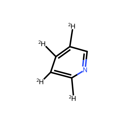 [2H]c1cnc([2H])c([2H])c1[2H]